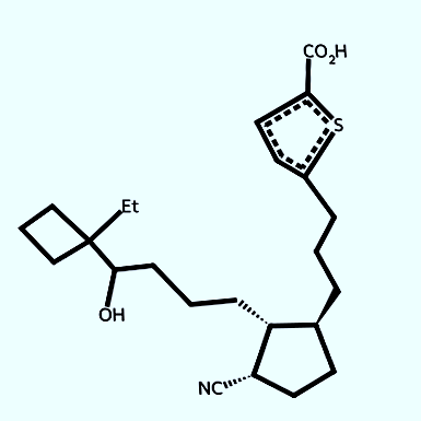 CCC1(C(O)CCC[C@@H]2[C@@H](CCCc3ccc(C(=O)O)s3)CC[C@@H]2C#N)CCC1